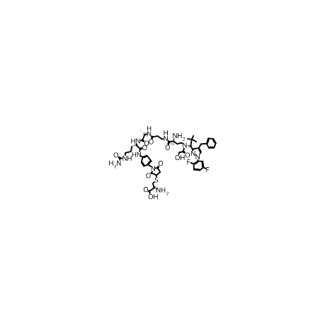 C[C@H](NC(=O)CCNC(=O)[C@@H](N)CCN(C(=O)CO)[C@@H](c1nn(-c2cc(F)ccc2F)cc1Cc1ccccc1)C(C)(C)C)C(=O)N[C@@H](CCCNC(N)=O)C(=O)Nc1ccc(N2C(=O)CC(SC[C@H](N)C(=O)O)C2=O)cc1